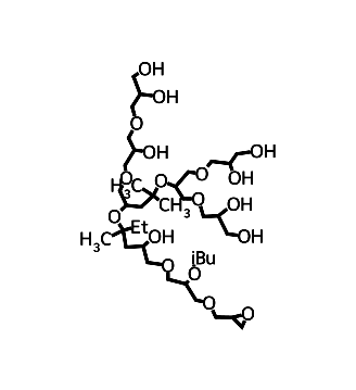 CCC(C)OC(COCC(O)CC(C)(CC)OC(COCC(O)COCC(O)CO)CC(C)(C)OC(COCC(O)CO)COCC(O)CO)COCC1CO1